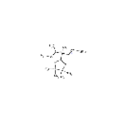 COC(C)[C@@](C)(/C=C/C#N)B1OC(C)(C)C(C)(C)O1